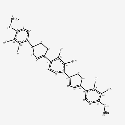 CCCCCCOc1ccc(C2CC=C(c3ccc(C4=CC=C(c5ccc(OCCCC)c(F)c5F)CC4)c(F)c3F)CC2)c(F)c1F